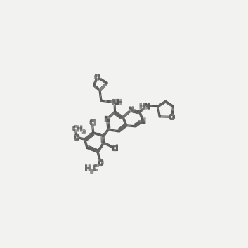 COc1cc(OC)c(Cl)c(-c2cc3cnc(NC4CCOC4)nc3c(NCC3COC3)n2)c1Cl